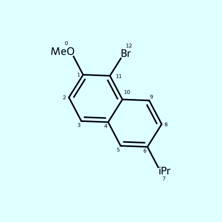 COc1ccc2cc(C(C)C)ccc2c1Br